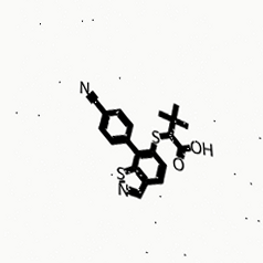 CC(C)(C)C(Sc1ccc2cnsc2c1-c1ccc(C#N)cc1)C(=O)O